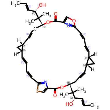 C/C=C/[C@H](O)C(C)(C)[C@@H]1C/C=C\[C@H]2C[C@H]2/C=C/C=C\c2nc(cs2)C(=O)O[C@H](C(C)(C)[C@@H](O)/C=C/C)C/C=C\[C@H]2C[C@H]2/C=C/C=C\c2nc(co2)C(=O)O1